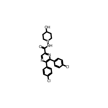 O=C(NN1CCC(O)CC1)c1cnc(-c2ccc(Cl)cc2)c(-c2ccc(Cl)cc2)n1